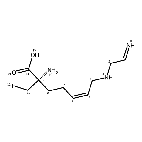 N=CCNC/C=C\CC[C@@](N)(CF)C(=O)O